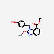 CCOC(=O)c1cccc2nc(OCC)n(Cc3ccc(O)cc3)c12